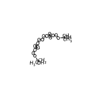 CC(C)(O)C#Cc1ccc(Oc2ccc(S(=O)(=O)c3ccc(Oc4cccc(Oc5ccc(S(=O)(=O)c6ccc(Oc7cccc(C#CC(C)(C)O)c7)cc6)cc5)c4)cc3)cc2)cc1